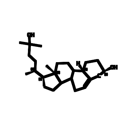 C[C@H](CCC(C)(C)O)[C@H]1CCC2C3CC=C4C[C@@H](O)CC[C@@H]4C3CC[C@@]21C